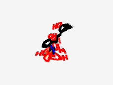 O=P(O)(O)N=C1C=CC=C(O)C1C(O)(O)CCCc1cccc(O)c1